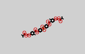 C=C(C)C(=O)OCOc1ccc(C(=O)Oc2ccc(S(=O)(=O)c3ccc(OC(=O)c4ccc(OCOC(=O)C(=C)C)cc4C)cc3)cc2)c(C)c1